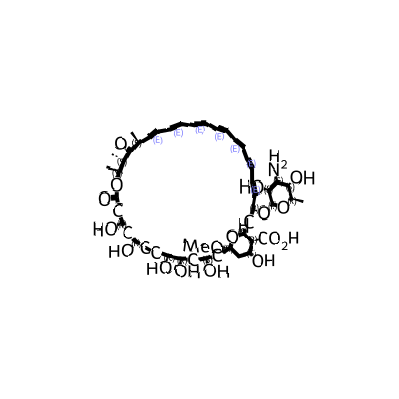 CO[C@]12C[C@@H](O)C[C@@H](O)[C@H](O)CC[C@@H](O)C[C@@H](O)CC(=O)O[C@@H](C)[C@H](C)C(=O)[C@@H](C)/C=C/C=C/C=C/C=C/C=C/C=C/C=C/[C@H](O[C@@H]3O[C@H](C)[C@@H](O)[C@H](N)[C@@H]3O)C[C@H](O1)[C@H](C(=O)O)[C@@H](O)C2